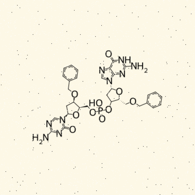 Nc1ncn([C@H]2C[C@@H](OCc3ccccc3)[C@@H](COP(=O)(O)OC3C[C@H](n4cnc5c(=O)[nH]c(N)nc54)O[C@@H]3COCc3ccccc3)O2)c(=O)n1